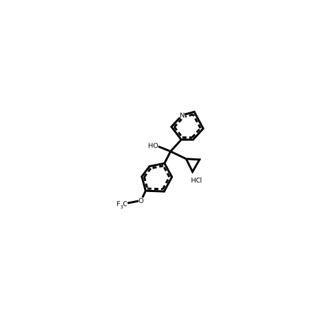 Cl.OC(c1ccc(OC(F)(F)F)cc1)(c1cccnc1)C1CC1